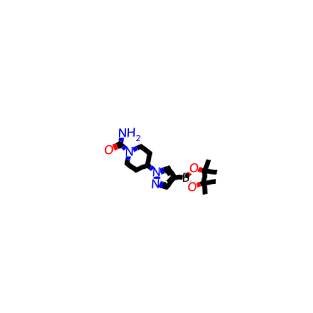 CC1(C)OB(c2cnn(C3CCN(C(N)=O)CC3)c2)OC1(C)C